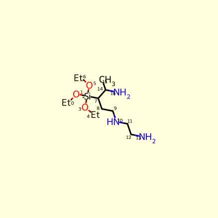 CCO[Si](OCC)(OCC)C(CCNCCN)C(C)N